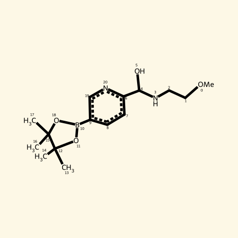 COCCNC(O)c1ccc(B2OC(C)(C)C(C)(C)O2)cn1